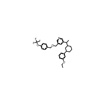 CCOc1cccc(C2CCCC(C(C)c3cncc(COCc4ccc(OC(F)(F)F)cc4)c3)C2)c1